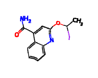 CC(I)Oc1cc(C(N)=O)c2ccccc2n1